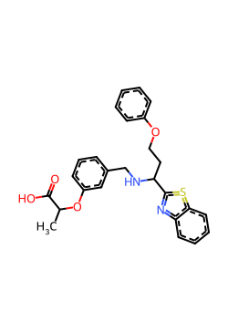 CC(Oc1cccc(CNC(CCOc2ccccc2)c2nc3ccccc3s2)c1)C(=O)O